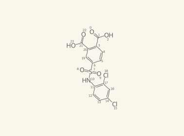 O=C(O)c1ccc(S(=O)(=O)Nc2ccc(Cl)cc2Cl)cc1C(=O)O